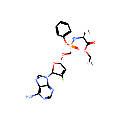 CCOC(=O)[C@H](C)N[P@](=O)(CO[C@@H]1C=C(F)C(n2cnc3c(N)ncnc32)O1)Oc1ccccc1